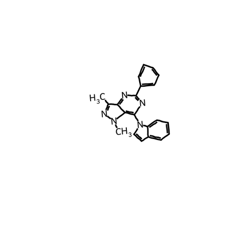 Cc1nn(C)c2c(-n3ccc4ccccc43)nc(-c3ccccc3)nc12